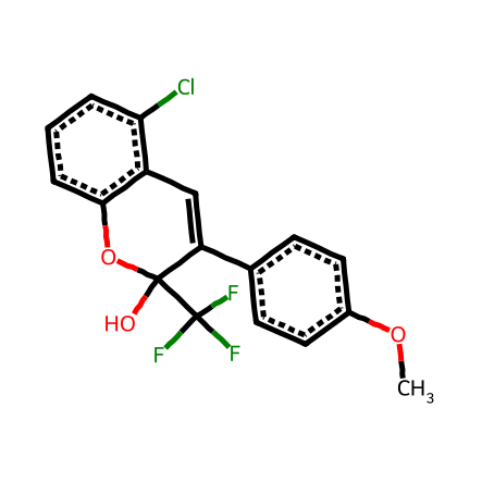 COc1ccc(C2=Cc3c(Cl)cccc3OC2(O)C(F)(F)F)cc1